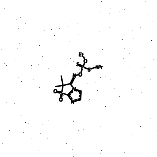 CCCSP(=S)(OCC)ON=C1n2ccnc2S(=O)(=O)C1(C)C